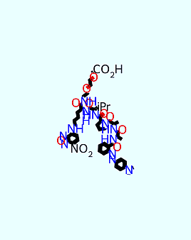 CC(NC(=O)c1ccccc1/N=N/c1ccc(N(C)C)cc1)C(=O)NC(C)C(=O)N1CCCC1C(=O)NC(C(=O)NC(CCCCNc1ccc([N+](=O)[O-])c2nonc12)C(=O)NCCOCCOCC(=O)O)C(C)C